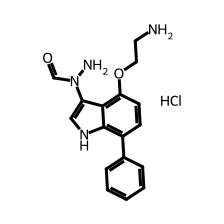 Cl.NCCOc1ccc(-c2ccccc2)c2[nH]cc(N(N)C=O)c12